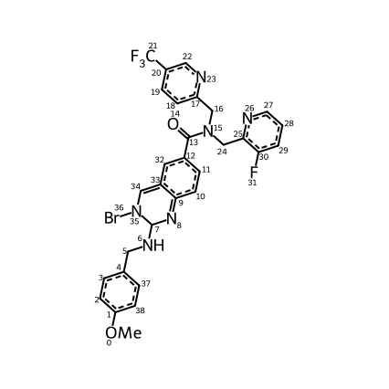 COc1ccc(CNC2N=c3ccc(C(=O)N(Cc4ccc(C(F)(F)F)cn4)Cc4ncccc4F)cc3=CN2Br)cc1